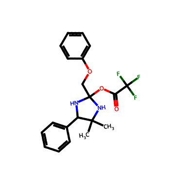 CC1(C)NC(COc2ccccc2)(OC(=O)C(F)(F)F)NC1c1ccccc1